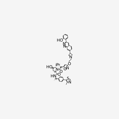 Cc1ncsc1-c1ccc([C@H](C)NC(=O)[C@@H]2C[C@@H](O)CN2C(=O)[C@@H](c2cc(OCCN3CC(c4ccc5cc(-c6ccccc6O)nnc5c4)C3)no2)C(C)C)cc1